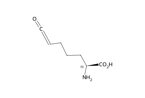 N[C@@H](CCCC=C=O)C(=O)O